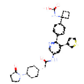 O=C(O)NC1(c2ccc(-c3ncc(NC(=O)C[C@H]4CC[C@H](N5CCCC5=O)CC4)cc3-c3ccsc3)cc2)CCC1